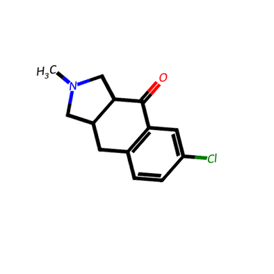 CN1CC2Cc3ccc(Cl)cc3C(=O)C2C1